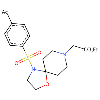 CCOC(=O)CN1CCC2(CC1)OCCN2S(=O)(=O)c1ccc(C(C)=O)cc1